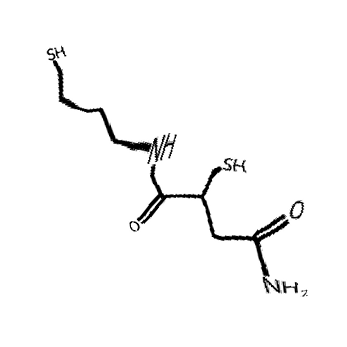 NC(=O)CC(S)C(=O)NCCCS